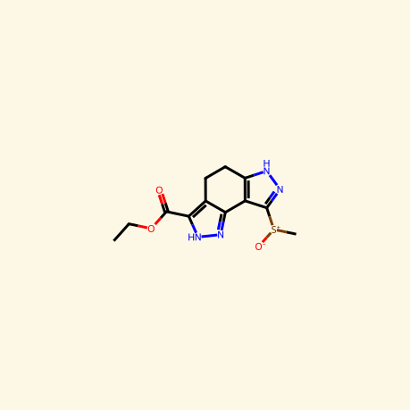 CCOC(=O)c1[nH]nc2c1CCc1[nH]nc([S+](C)[O-])c1-2